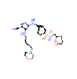 N#Cc1cnc(Nc2ccc(S(=O)(=O)NCC3CCCO3)cc2)nc1NCCCN1CCOCC1